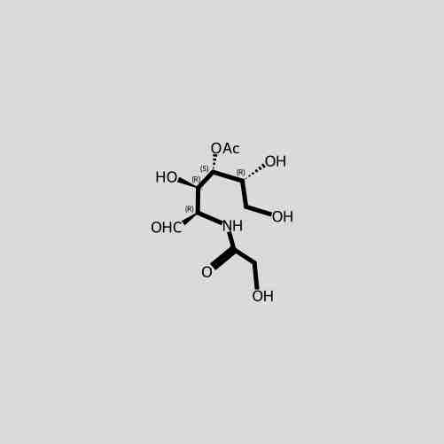 CC(=O)O[C@@H]([C@H](O)[C@H](C=O)NC(=O)CO)[C@H](O)CO